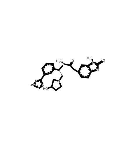 CN(C(=O)Cc1ccc2oc(=O)n(C)c2c1)[C@H](CN1CCC(O)C1)c1cccc(-c2nn[nH]n2)c1